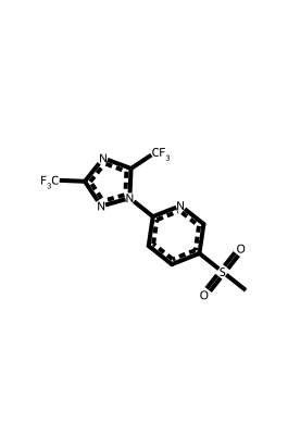 CS(=O)(=O)c1ccc(-n2nc(C(F)(F)F)nc2C(F)(F)F)nc1